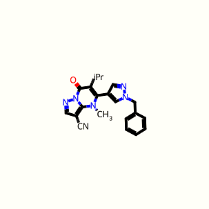 CC(C)c1c(-c2cnn(Cc3ccccc3)c2)n(C)c2c(C#N)cnn2c1=O